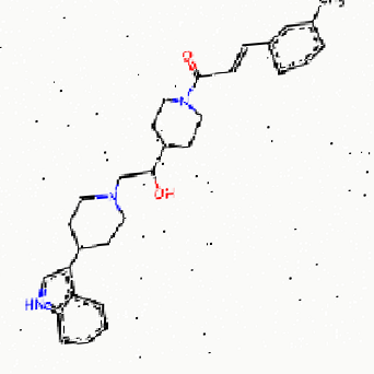 Cc1cccc(C=CC(=O)N2CCC(C(O)CN3CCC(c4c[nH]c5ccccc45)CC3)CC2)c1